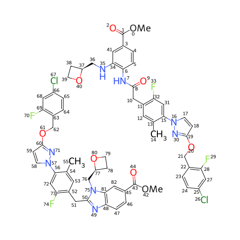 COC(=O)c1ccc(NC(=O)Cc2cc(C)c(-n3ccc(OCc4ccc(Cl)cc4F)n3)cc2F)c(NC[C@@H]2CCO2)c1.COC(=O)c1ccc2nc(Cc3cc(C)c(-n4ccc(OCc5ccc(Cl)cc5F)n4)cc3F)n(C[C@@H]3CCO3)c2c1